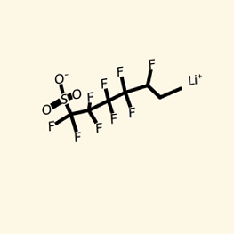 CCC(F)C(F)(F)C(F)(F)C(F)(F)C(F)(F)S(=O)(=O)[O-].[Li+]